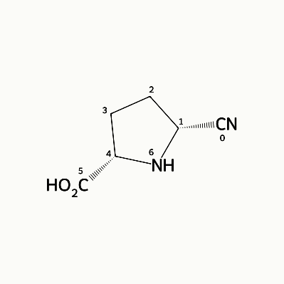 N#C[C@H]1CC[C@@H](C(=O)O)N1